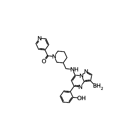 Bc1cnn2c(NCC3CCCN(C(=O)c4ccncc4)C3)cc(-c3ccccc3O)nc12